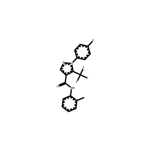 Cc1ccccc1NC(=O)c1cnn(-c2ccc(F)cc2)c1C(F)(F)F